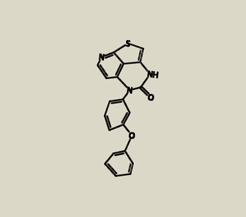 O=C1Nc2csc3nccc(c23)N1c1cccc(Oc2ccccc2)c1